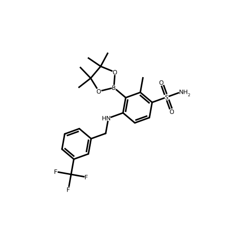 Cc1c(S(N)(=O)=O)ccc(NCc2cccc(C(F)(F)F)c2)c1B1OC(C)(C)C(C)(C)O1